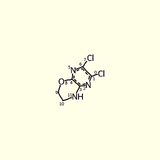 Clc1nc2c(nc1Cl)OCCN2